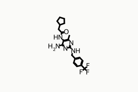 Cc1nc(NCc2ccc(C(F)(F)F)cc2)nc(N)c1NC(=O)CC1CCCC1